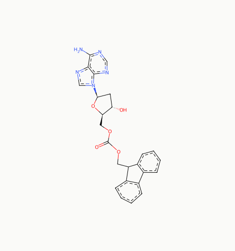 Nc1ncnc2c1ncn2[C@H]1C[C@H](O)[C@@H](COC(=O)OCC2c3ccccc3-c3ccccc32)O1